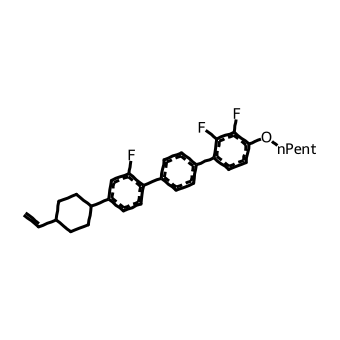 C=CC1CCC(c2ccc(-c3ccc(-c4ccc(OCCCCC)c(F)c4F)cc3)c(F)c2)CC1